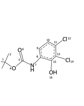 CC(C)(C)OC(=O)Nc1ccc(Cl)c(Cl)c1O